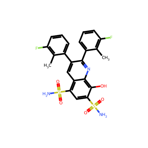 Cc1c(F)cccc1-c1cc2c(S(N)(=O)=O)cc(S(N)(=O)=O)c(O)c2nc1-c1cccc(F)c1C